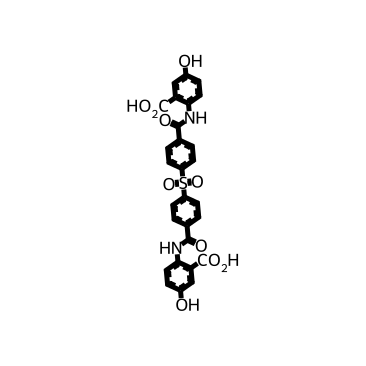 O=C(Nc1ccc(O)cc1C(=O)O)c1ccc(S(=O)(=O)c2ccc(C(=O)Nc3ccc(O)cc3C(=O)O)cc2)cc1